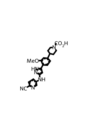 COc1cc(C2CCN(C(=O)O)CC2)ccc1-c1cc(Nc2ccc(C#N)nc2)n[nH]1